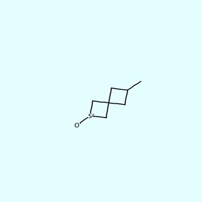 CC1CC2(C1)C[S+]([O-])C2